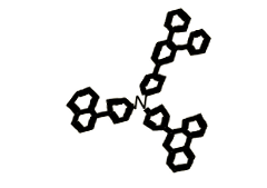 c1ccc(-c2ccc(-c3ccc(N(c4ccc(-c5cccc6ccccc56)cc4)c4ccc(-c5cc6ccccc6c6ccccc56)cc4)cc3)cc2-c2ccccc2)cc1